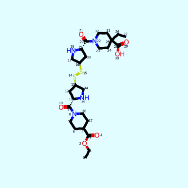 CCOC(=O)C1CCN(C(=O)[C@@H]2C[C@@H](SS[C@H]3CN[C@H](C(=O)N4CCC(CC)(C(=O)O)CC4)C3)CN2)CC1